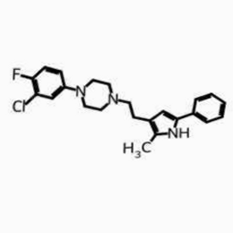 Cc1[nH]c(-c2ccccc2)cc1CCN1CCN(c2ccc(F)c(Cl)c2)CC1